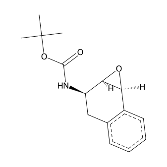 CC(C)(C)OC(=O)N[C@@H]1Cc2ccccc2[C@@H]2O[C@H]12